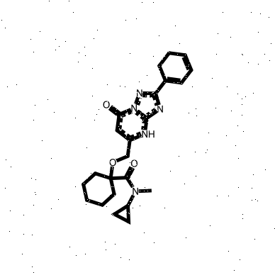 CN(C(=O)C1(OCc2cc(=O)n3nc(C4=CC=CCC4)nc3[nH]2)CCCCC1)C1CC1